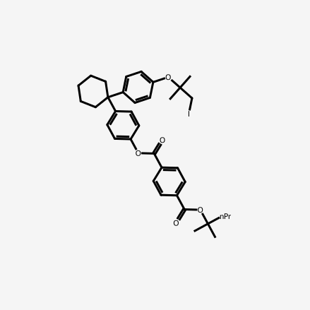 CCCC(C)(C)OC(=O)c1ccc(C(=O)Oc2ccc(C3(c4ccc(OC(C)(C)CI)cc4)CCCCC3)cc2)cc1